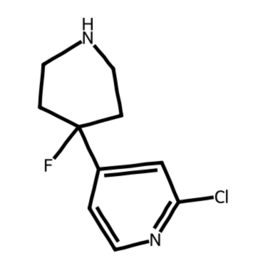 FC1(c2ccnc(Cl)c2)CCNCC1